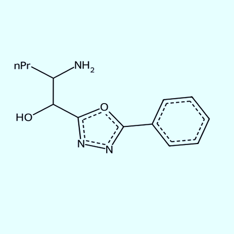 CCCC(N)C(O)c1nnc(-c2ccccc2)o1